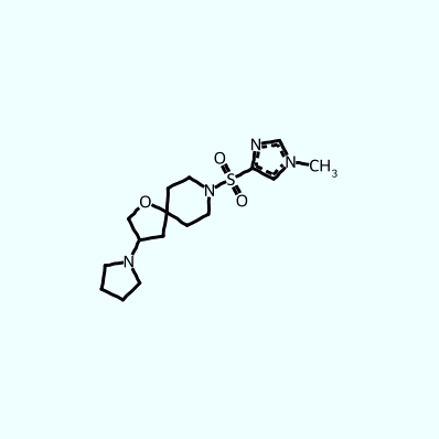 Cn1cnc(S(=O)(=O)N2CCC3(CC2)CC(N2CCCC2)CO3)c1